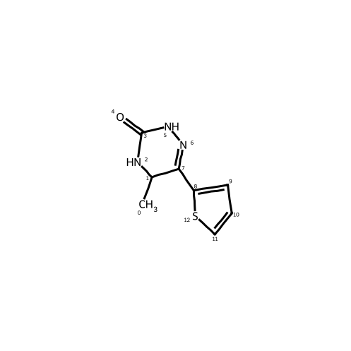 CC1NC(=O)NN=C1c1cccs1